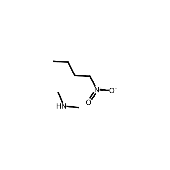 CCCC[N+](=O)[O-].CNC